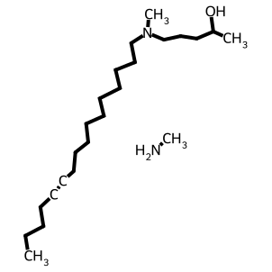 CCCCCCCCCCCCCCCCN(C)CCCC(C)O.CN